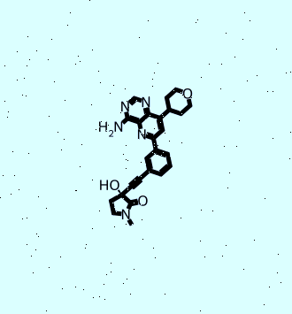 CN1CC[C@@](O)(C#Cc2cccc(-c3cc(C4CCOCC4)c4ncnc(N)c4n3)c2)C1=O